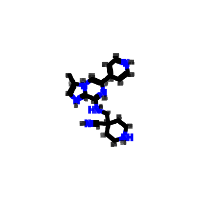 Cc1cnc2c(NCC3(C#N)CCNCC3)nc(-c3ccncc3)cn12